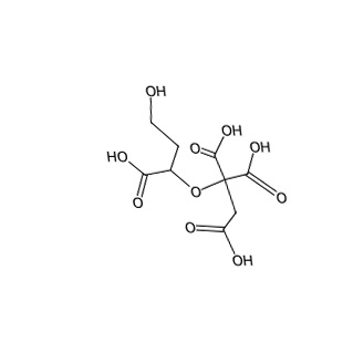 O=C(O)CC(OC(CCO)C(=O)O)(C(=O)O)C(=O)O